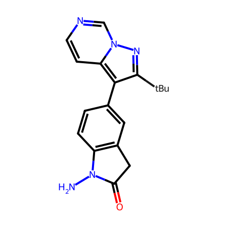 CC(C)(C)c1nn2cnccc2c1-c1ccc2c(c1)CC(=O)N2N